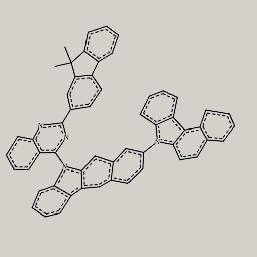 CC1(C)c2ccccc2-c2ccc(-c3nc(-n4c5ccccc5c5cc6ccc(-n7c8ccccc8c8c9ccccc9ccc87)cc6cc54)c4ccccc4n3)cc21